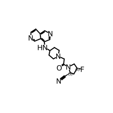 N#C[C@@H]1C[C@H](F)CN1C(=O)CN1CCC(Nc2cncc3ccncc23)CC1